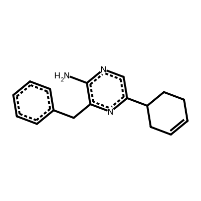 Nc1ncc(C2CC=CCC2)nc1Cc1ccccc1